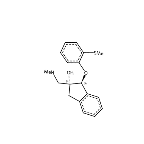 CNC[C@]1(O)Cc2ccccc2[C@@H]1Oc1ccccc1SC